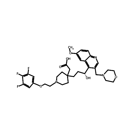 COc1ccc2ncc(CN3CCOCC3)c([C@H](O)CCC3(CC(=O)O)CCN(CCOc4cc(F)c(F)c(F)c4)CC3)c2c1